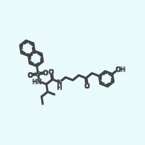 CCC(C)C(NS(=O)(=O)c1ccc2ccccc2c1)C(=O)NCCCC(=O)Cc1cccc(O)c1